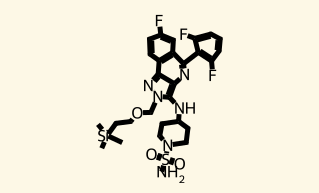 C[Si](C)(C)CCOCn1nc2c(nc(-c3c(F)cccc3F)c3cc(F)ccc32)c1NC1CCN(S(N)(=O)=O)CC1